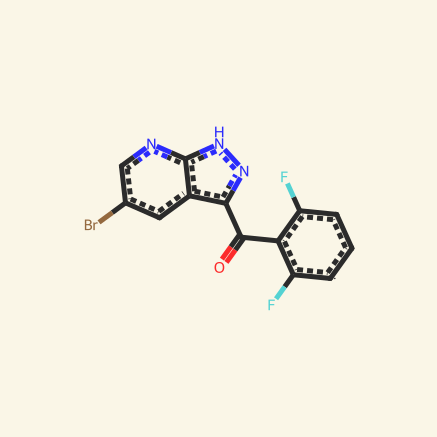 O=C(c1c(F)[c]ccc1F)c1n[nH]c2ncc(Br)cc12